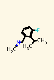 C=NCc1cccc(F)c1C(C)C